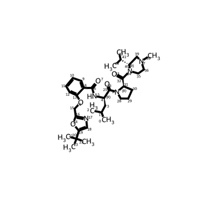 CC(C)C[C@@H](NC(=O)c1ccccc1OCc1ncc(C(C)(C)C)o1)C(=O)N1CCC[C@@H]1C(=O)N1CCN(C)C[C@H]1C(C)C